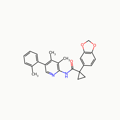 Cc1ccccc1-c1cnc(NC(=O)C2(c3ccc4c(c3)OCO4)CC2)c(C)c1C